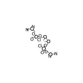 COc1cc(Cl)c(OCc2cccc(-c3cccc(COc4cc(OCc5cncc(C#N)c5)c(C=O)cc4Cl)c3C)c2C)cc1OCc1cncc(C#N)c1